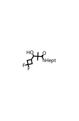 CCCCCCCC(=O)C(C)(C)C(O)C1CC(F)(F)C1